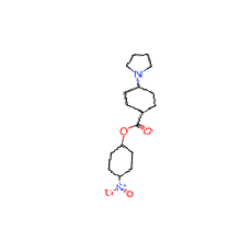 O=C(OC1CCC([N+](=O)[O-])CC1)C1CCC(N2CCCC2)CC1